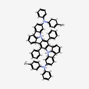 CC(C)C1=CC=C(N(c2ccccc2)c2ccc3c4cccc5c6c(-c7ccccc7)c7c(c(-c8ccccc8)c6n(c3c2)c45)c2cccc3c4ccc(N(c5ccccc5)c5ccc(C(C)C)cc5)cc4n7c32)CC1